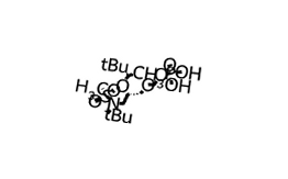 C[C@H](O[C@H](COCOP(=O)(O)O)CN(C(C)(C)C)S(C)(=O)=O)C(C)(C)C